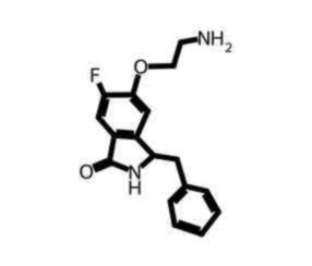 NCCOc1cc2c(cc1F)C(=O)NC2Cc1ccccc1